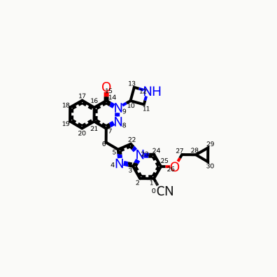 N#Cc1cc2nc(Cc3nn(C4CNC4)c(=O)c4ccccc34)cn2cc1OCC1CC1